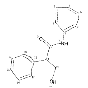 O=C(Nc1ccccc1)C(CO)c1ccccc1